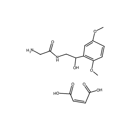 COc1ccc(OC)c(C(O)CNC(=O)CN)c1.O=C(O)/C=C\C(=O)O